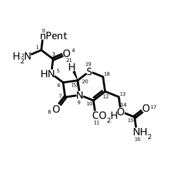 CCCCCC(N)C(=O)NC1C(=O)N2C(C(=O)O)=C(COC(N)=O)CS[C@@H]12